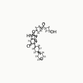 O=C(C1CC(O)C1)N1CCC(Oc2nc3nc(C4=CCC(N5CCOCC5)C=C4)c(Cl)cc3[nH]2)CC1